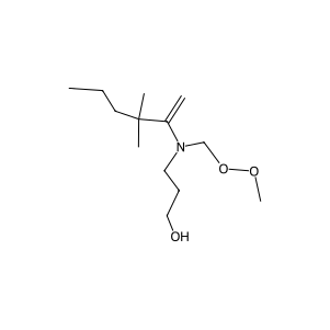 C=C(N(CCCO)COOC)C(C)(C)CCC